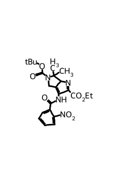 CCOC(=O)C1=NC2C(=C1NC(=O)c1ccccc1[N+](=O)[O-])CN(C(=O)OC(C)(C)C)C2(C)C